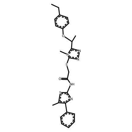 CCc1ccc(OC(C)c2nnc(SCC(=O)Nc3nc(-c4ccccc4)c(C)s3)n2C)cc1